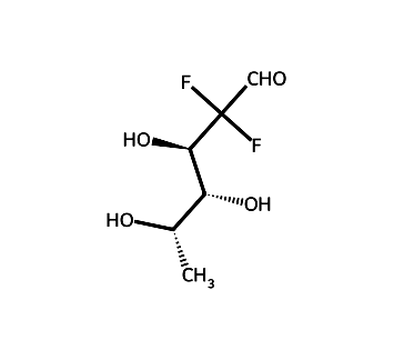 C[C@H](O)[C@@H](O)[C@@H](O)C(F)(F)C=O